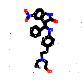 CCN(CCO)CCc1ccc(N/C(=C2\C(=O)Nc3ccc([N+](=O)[O-])cc32)c2ccccc2)cc1